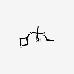 CCSC(C)(S)SC1CSC1